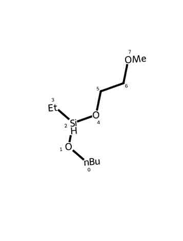 CCCCO[SiH](CC)OCCOC